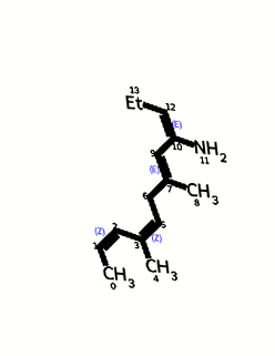 C/C=C\C(C)=C/C/C(C)=C/C(N)=C\CC